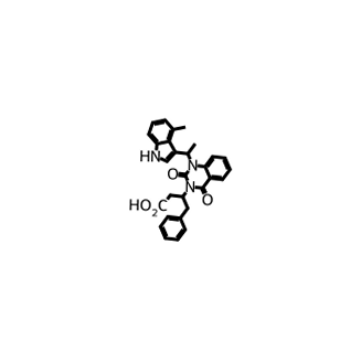 Cc1cccc2[nH]cc(C(C)n3c(=O)n(C(CC(=O)O)Cc4ccccc4)c(=O)c4ccccc43)c12